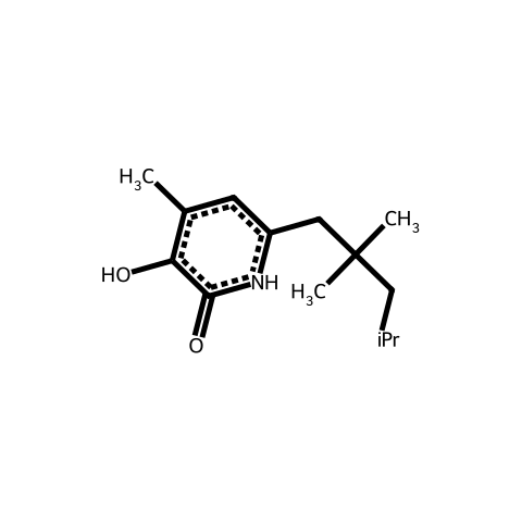 Cc1cc(CC(C)(C)CC(C)C)[nH]c(=O)c1O